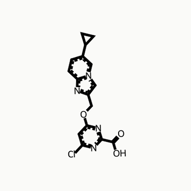 O=C(O)c1nc(Cl)cc(OCc2cn3cc(C4CC4)ccc3n2)n1